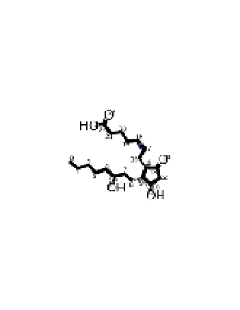 CCCCC[C@H](O)CC[C@H]1[C@H](O)CC(=O)[C@@H]1C/C=C\CCCC(=O)O